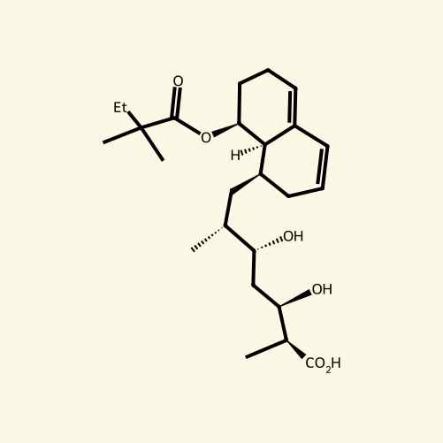 CCC(C)(C)C(=O)O[C@H]1CCC=C2C=CC[C@@H](C[C@@H](C)[C@H](O)C[C@@H](O)[C@H](C)C(=O)O)[C@H]21